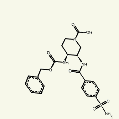 NS(=O)(=O)c1ccc(C(=O)N[C@@H]2CN(C(=O)O)CC[C@@H]2NC(=O)OCc2ccccc2)cc1